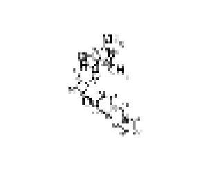 Cc1cc(C(=O)N(C)CC2CC(Oc3ccc(CN4CCCC4)cc3)C2)n(C)n1